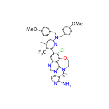 COc1ccc(CN(Cc2ccc(OC)cc2)c2cc(C)c(C(F)(F)F)c(-c3cc4ncnc5c4c(c3Cl)OCCN5[C@@H](C)c3cccnc3N)n2)cc1